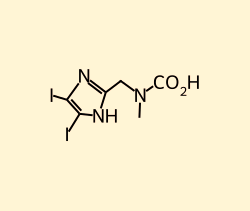 CN(Cc1nc(I)c(I)[nH]1)C(=O)O